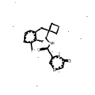 O=C(NCC1(Cc2cccc(F)c2F)CCC1)c1cncc(=O)[nH]1